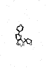 CC1(Nc2nc(-c3ccncc3)ccc2N)CCOC1